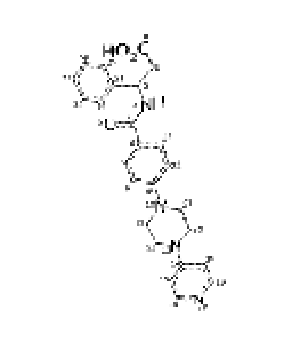 O=C(O)CC(NC(=O)c1ccc(N2CCN(c3ccncc3)CC2)cc1)c1ccccc1